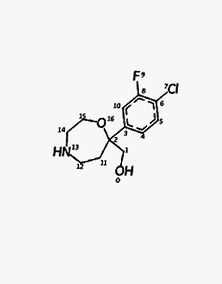 OCC1(c2ccc(Cl)c(F)c2)CCNCCO1